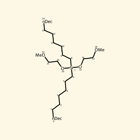 CCCCCCCCCCCCCCCC[Si](CCCCCCCCCCCCCCCC)(OCCOC)OCCOC